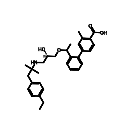 CCc1ccc(CC(C)(C)NC[C@H](O)COC(C)c2ccccc2-c2ccc(C(=O)O)c(C)c2)cc1